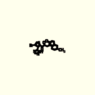 Cc1ccc2c(ccc(=O)n2CC(=O)Nc2scc(Br)c2-c2ncn[nH]2)c1